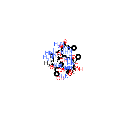 CC(=O)N[C@H](Cc1ccc(O)cc1)C(=O)N1C[C@H](O)C[C@H]1C(=O)N[C@@H](CC(N)=O)C(=O)N[C@H](C(=O)N[C@@H](CC1CCCCC1)C(=O)NC/C=C/[C@@H](CC(C)C)C(=O)N[C@@H](CCCNC(=N)N)C(=O)N[C@@H](Cc1c[nH]c2ccccc12)C(N)=O)[C@@H](C)O